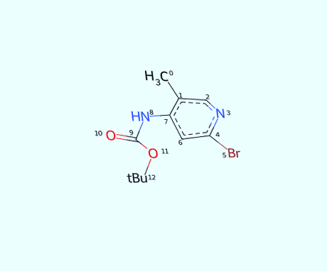 Cc1cnc(Br)cc1NC(=O)OC(C)(C)C